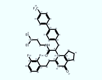 CCN(CC)CCNC(=O)C(Cc1ccc(-c2ccc(C(F)(F)F)cc2)cc1)n1c(CCc2cccc(F)c2F)nc(=O)c2c1CCC2